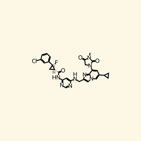 CN1C(=O)CN(c2cc(C3CC3)cn3cc(CNc4cc(NC(=O)[C@@H]5C[C@@]5(F)c5cccc(Cl)c5)ncn4)nc23)C1=O